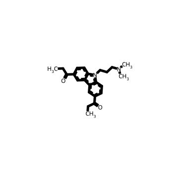 CCC(=O)c1ccc2c(c1)c1cc(C(=O)CC)ccc1n2CCCN(C)C